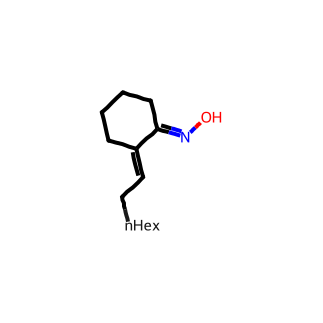 CCCCCCCC=C1CCCCC1=NO